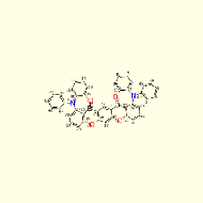 c1ccc(N2c3ccccc3OB3c4cc5c(cc4Oc4cccc2c43)Oc2cccc3c2B5Oc2ccccc2N3c2ccccc2)cc1